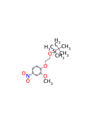 COc1cc([N+](=O)[O-])ccc1OCCO[Si](C)(C)C(C)(C)C